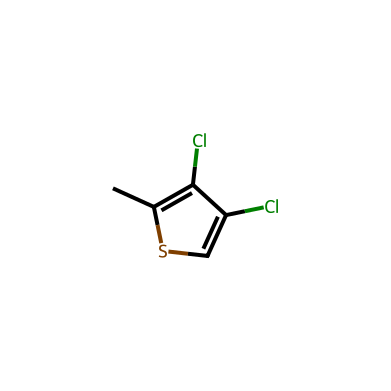 Cc1scc(Cl)c1Cl